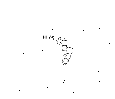 CC(=O)NCC1CN(c2ccc3c(c2)CCCC(=Cc2ccncc2)C3=O)C(=O)O1